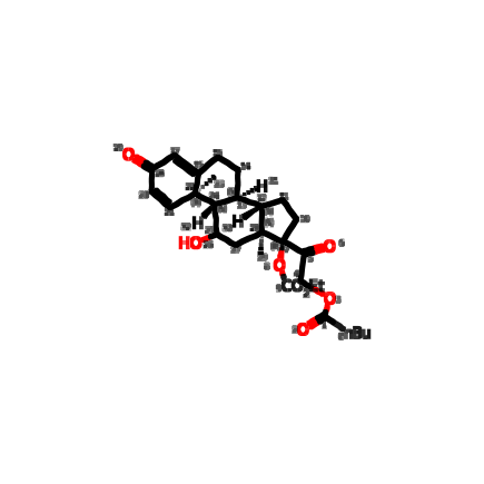 CCCCC(=O)OCC(=O)[C@@]1(OC(=O)OCC)CC[C@H]2[C@@H]3CCC4=CC(=O)C=C[C@]4(C)[C@H]3C(O)C[C@@]21C